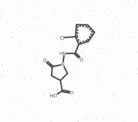 O=C(NN1CC(C(=O)O)CC1=O)c1ccccc1Cl